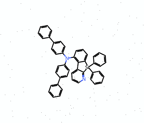 c1ccc(-c2ccc(N(c3ccc(-c4ccccc4)cc3)c3cccc4c3-c3cccnc3[Si]4(c3ccccc3)c3ccccc3)cc2)cc1